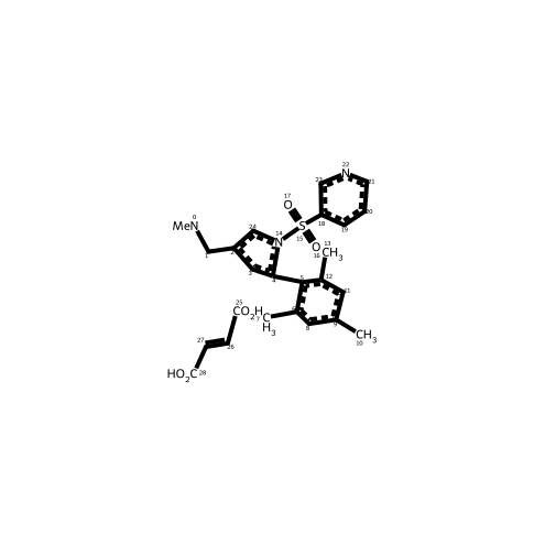 CNCc1cc(-c2c(C)cc(C)cc2C)n(S(=O)(=O)c2cccnc2)c1.O=C(O)/C=C/C(=O)O